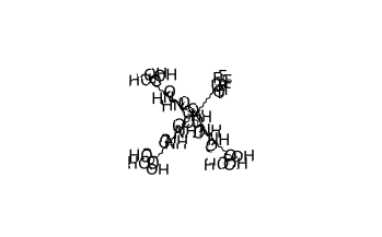 O=C(CCCCC[C@H]1C[C@@H](O)[C@@H](O)[C@@H](CO)O1)NCCCNC(=O)CCOCC(COCCC(=O)NCCCNC(=O)CCCCC[C@H]1C[C@@H](O)[C@@H](O)[C@@H](CO)O1)(COCCC(=O)NCCCNC(=O)CCCCC[C@H]1C[C@@H](O)[C@@H](O)[C@@H](CO)O1)NC(=O)CCCCCCCCCCC(=O)Oc1c(F)c(F)c(F)c(F)c1F